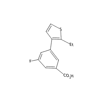 CCc1sccc1-c1cc(F)cc(C(=O)O)c1